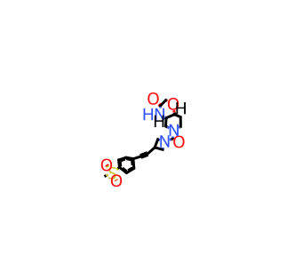 CS(=O)(=O)c1ccc(C#CC2CN(C(=O)N3CC[C@@H]4OCC(=O)N[C@@H]4C3)C2)cc1